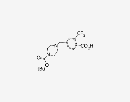 CC(C)(C)OC(=O)N1CCN(Cc2ccc(C(=O)O)c(C(F)(F)F)c2)CC1